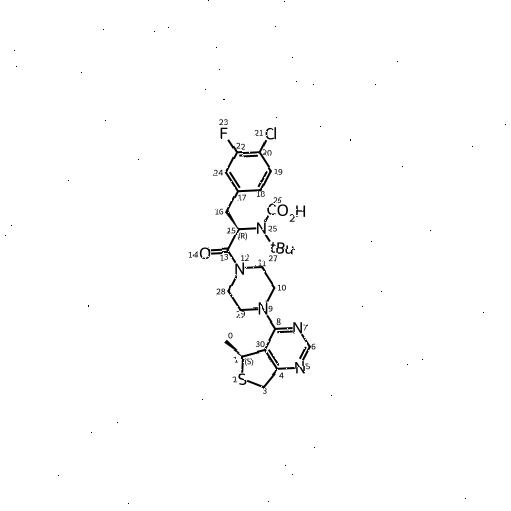 C[C@@H]1SCc2ncnc(N3CCN(C(=O)[C@@H](Cc4ccc(Cl)c(F)c4)N(C(=O)O)C(C)(C)C)CC3)c21